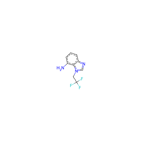 Nc1cccc2ncn(CC(F)(F)F)c12